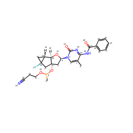 Cc1cn([C@H]2C[C@@]3(OP(C)OCCC#N)C[C@]4(F)C[C@@H]4[C@H]3O2)c(=O)nc1NC(=O)c1ccccc1